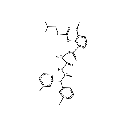 COc1ccnc(C(=O)N[C@@H](C)C(=O)N[C@@H](C)C(c2cccc(C)c2)c2cccc(C)c2)c1OC(=O)OCC(C)C